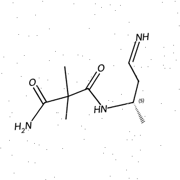 C[C@@H](CC=N)NC(=O)C(C)(C)C(N)=O